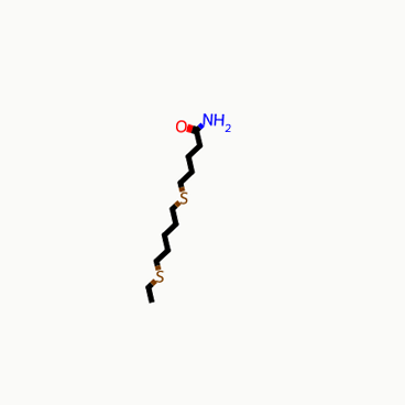 CCSCCCCCSCCCCC(N)=O